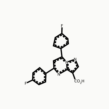 O=C(O)c1cnn2c(-c3ccc(F)cc3)cc(-c3ccc(F)cc3)nc12